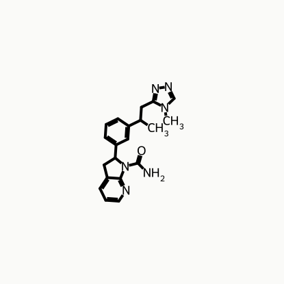 CC(Cc1nncn1C)c1cccc(C2Cc3cccnc3N2C(N)=O)c1